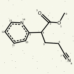 COC(=O)C(CCC#N)c1ccccn1